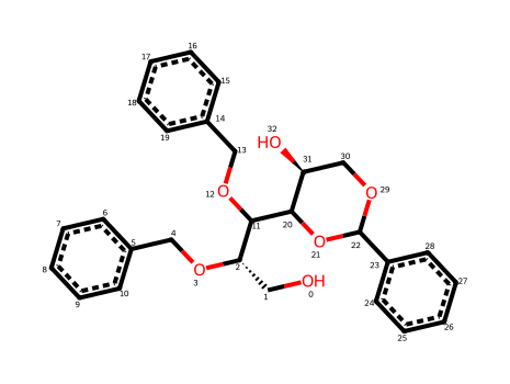 OC[C@H](OCc1ccccc1)C(OCc1ccccc1)C1OC(c2ccccc2)OC[C@@H]1O